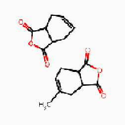 CC1=CCC2C(=O)OC(=O)C2C1.O=C1OC(=O)C2CC=CCC12